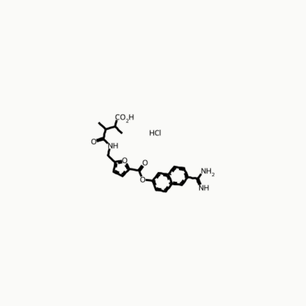 CC(C(=O)O)C(C)C(=O)NCc1ccc(C(=O)Oc2ccc3cc(C(=N)N)ccc3c2)o1.Cl